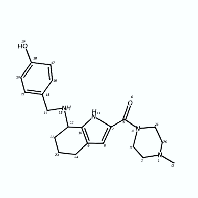 CN1CCN(C(=O)c2cc3c([nH]2)C(NCc2ccc(O)cc2)CCC3)CC1